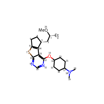 CC[C@H](C[C@H]1CCc2sc3ncnc(OC4CCC(N(C)C)CC4)c3c21)OC